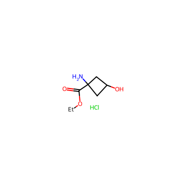 CCOC(=O)C1(N)CC(O)C1.Cl